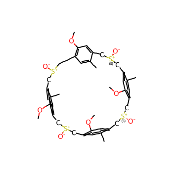 COc1cc2c(C)cc1C[S+]([O-])Cc1cc(OC)c(cc1C)C[S+]([O-])Cc1cc(C)c(cc1OC)C[S@@+]([O-])Cc1cc(C)c(cc1OC)C[S@+]([O-])C2